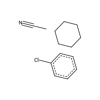 C1CCCCC1.CC#N.Clc1ccccc1